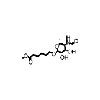 COC(=O)CCCCCO[C@H]1O[C@H](C)[C@@H](NC=O)[C@H](O)[C@@H]1O